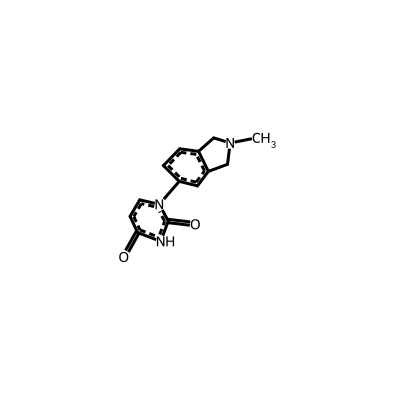 CN1Cc2ccc(-n3ccc(=O)[nH]c3=O)cc2C1